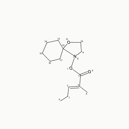 CCC=C(C)C(=O)ON1CCOC12CCCCC2